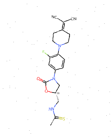 CC(=S)NC[C@H]1CN(c2ccc(N3CCC(=C(C#N)C#N)CC3)c(F)c2)C(=O)O1